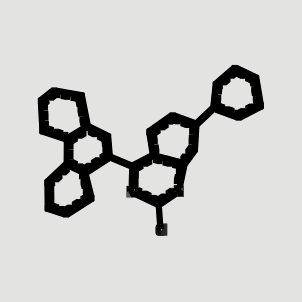 Clc1nc(-c2cc3ccccc3c3ccccc23)c2ccc(-c3ccccc3)cc2n1